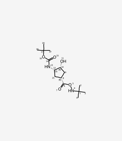 CC(C)(C)NOC(=O)[C@H]1C[C@@H](O)[C@@H](NC(=O)OC(C)(C)C)C1